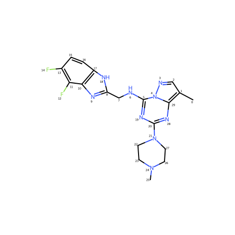 Cc1cnn2c(NCc3nc4c(F)c(F)ccc4[nH]3)nc(N3CCN(C)CC3)nc12